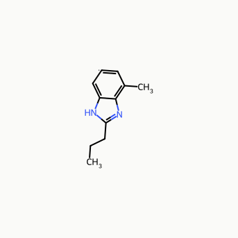 CCCc1nc2c(C)c[c]cc2[nH]1